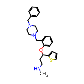 CNCCC(Oc1ccccc1CN1CCN(Cc2ccccc2)CC1)c1cccs1